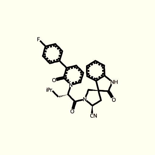 CC(C)C[C@@H](C(=O)N1C[C@]2(C[C@H]1C#N)C(=O)Nc1ccccc12)n1cccc(-c2ccc(F)cc2)c1=O